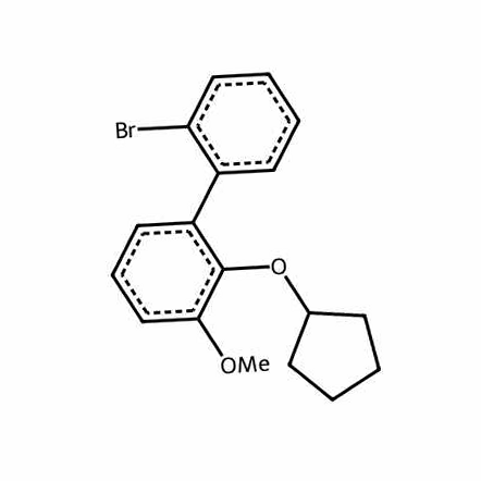 COc1cccc(-c2ccccc2Br)c1OC1CCCC1